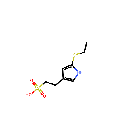 CCSc1cc(CCS(=O)(=O)O)c[nH]1